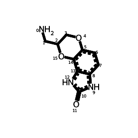 NCC1COc2ccc3[nH]c(=O)[nH]c3c2O1